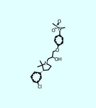 CN(c1ccc(OC[C@@H](O)CN2CC[C@H](c3cccc(Cl)c3)C2(C)C)cc1)S(C)(=O)=O